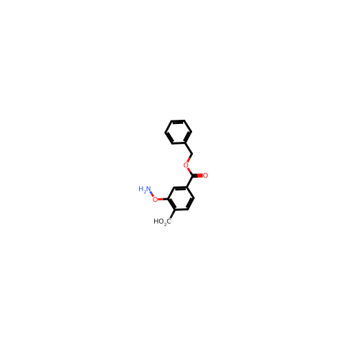 NOc1cc(C(=O)OCc2ccccc2)ccc1C(=O)O